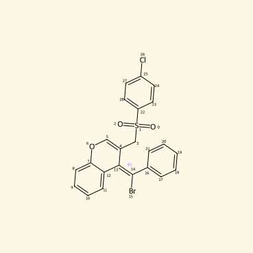 O=S(=O)(CC1=COc2ccccc2/C1=C(\Br)c1ccccc1)c1ccc(Cl)cc1